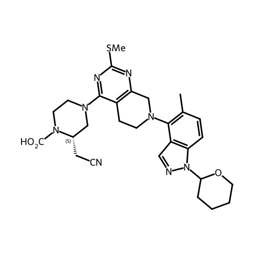 CSc1nc2c(c(N3CCN(C(=O)O)[C@@H](CC#N)C3)n1)CCN(c1c(C)ccc3c1cnn3C1CCCCO1)C2